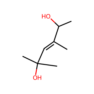 C/C(=C\C(C)(C)O)C(C)O